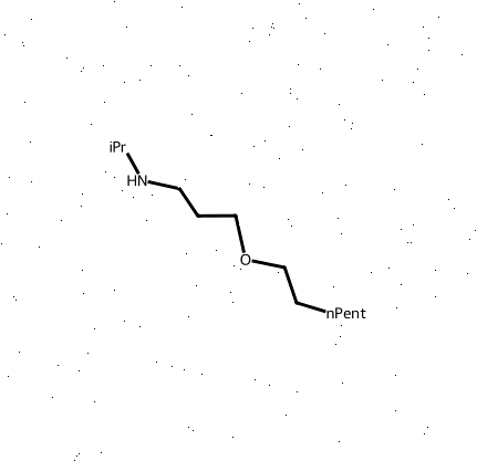 CCCCCCCOCCCNC(C)C